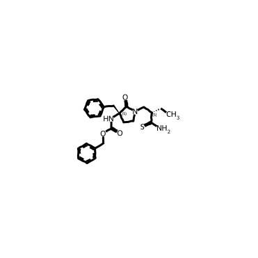 CC[C@@H](CN1CC[C@](Cc2ccccc2)(NC(=O)OCc2ccccc2)C1=O)C(N)=S